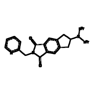 CCCN(CCC)C1Cc2cc3c(cc2C1)C(=O)N(Cc1ccccn1)C3=O